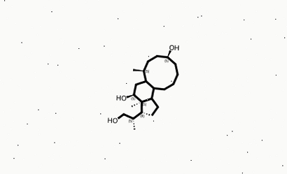 C[C@H](CO)[C@H]1CCC2C3CCCC[C@H](O)CC[C@H](C)C3C[C@H](O)[C@@]21C